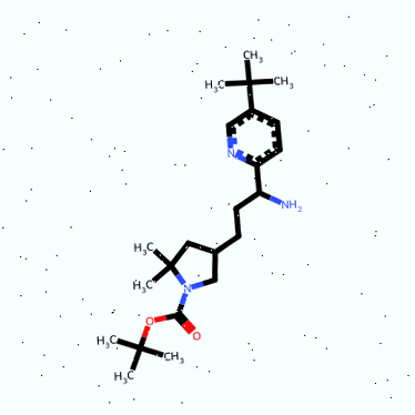 CC(C)(C)OC(=O)N1CC(CCC(N)c2ccc(C(C)(C)C)cn2)CC1(C)C